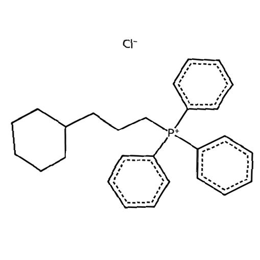 [Cl-].c1ccc([P+](CCCC2CCCCC2)(c2ccccc2)c2ccccc2)cc1